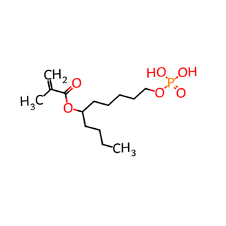 C=C(C)C(=O)OC(CCCC)CCCCCOP(=O)(O)O